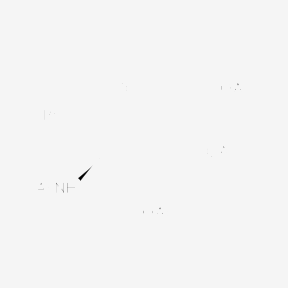 CC(=O)N[C@H]1C(Br)O[C@H](COC(C)=O)[C@H](OC(C)=O)[C@@H]1OC(C)=O